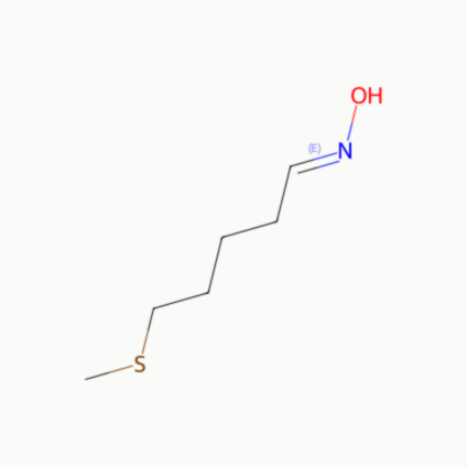 CSCCCC/C=N/O